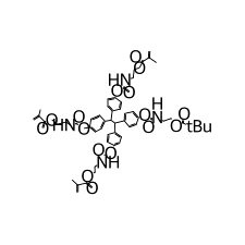 C=C(C)C(=O)OCCNC(=O)Oc1ccc(C(c2ccc(OC(=O)NCCOC(=O)C(=C)C)cc2)C(c2ccc(OC(=O)NCCOC(=O)C(=C)C)cc2)c2ccc(OC(=O)NCCOC(=O)C(C)(C)C)cc2)cc1